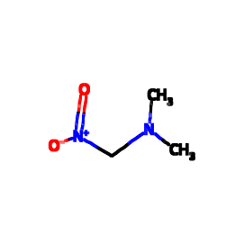 CN(C)C[N+](=O)[O-]